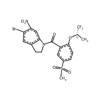 C[C@H](Oc1ccc(S(C)(=O)=O)cc1C(=O)N1CCc2cc(Br)c([N+](=O)[O-])cc21)C(F)(F)F